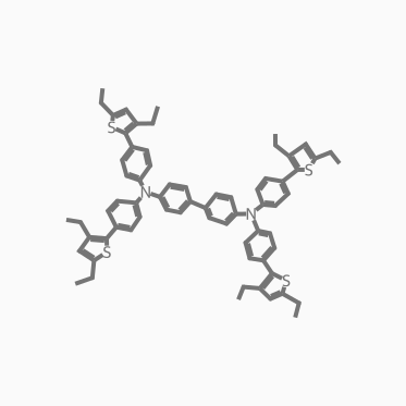 CCc1cc(CC)c(-c2ccc(N(c3ccc(-c4ccc(N(c5ccc(-c6sc(CC)cc6CC)cc5)c5ccc(-c6sc(CC)cc6CC)cc5)cc4)cc3)c3ccc(-c4sc(CC)cc4CC)cc3)cc2)s1